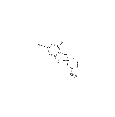 Cc1cc(N)cc(Br)c1OC1(C(F)(F)F)CCCN(C(=O)O)C1